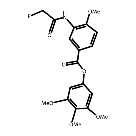 COc1ccc(C(=O)Oc2cc(OC)c(OC)c(OC)c2)cc1NC(=O)CF